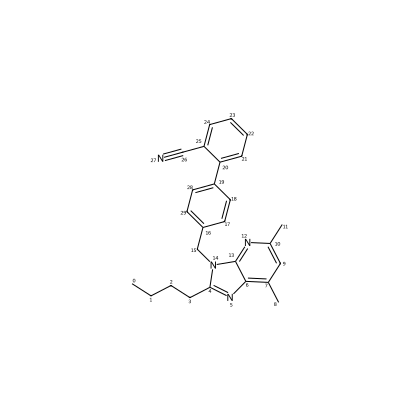 CCCCc1nc2c(C)cc(C)nc2n1Cc1ccc(-c2ccccc2C#N)cc1